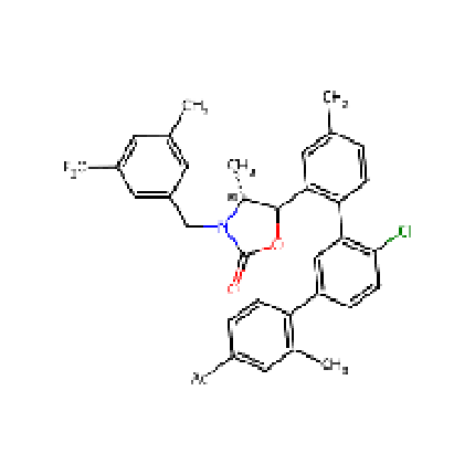 CC(=O)c1ccc(-c2ccc(Cl)c(-c3ccc(C)cc3C3OC(=O)N(Cc4cc(C)cc(C(F)(F)F)c4)[C@@H]3C)c2)c(C)c1